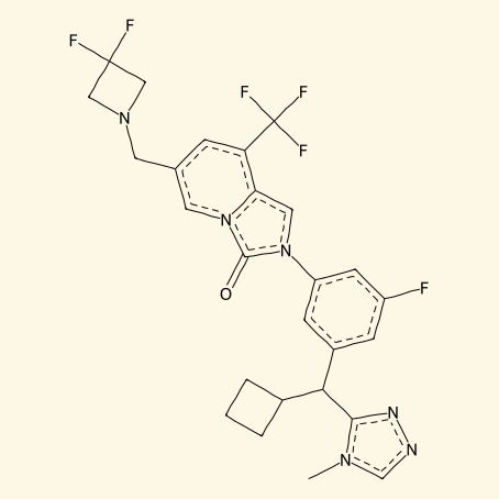 Cn1cnnc1C(c1cc(F)cc(-n2cc3c(C(F)(F)F)cc(CN4CC(F)(F)C4)cn3c2=O)c1)C1CCC1